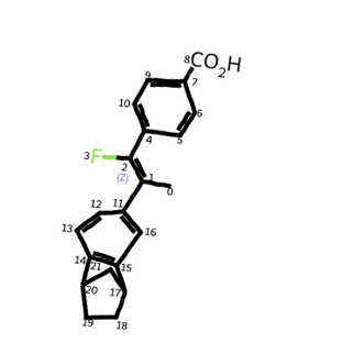 C/C(=C(/F)c1ccc(C(=O)O)cc1)c1ccc2c(c1)C1CCC2C1